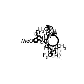 CCOc1cnc(O[C@@H]2C[C@H]3C(=O)N[C@]4(C(=O)NS(=O)(=O)C5(C)CC5)C[C@H]4/C=C\CC[C@H](C)C[C@@H](C)[C@H](NC(=O)OC(C)(C)C(F)(F)F)C(=O)N3C2)c2ccc(OC)cc12